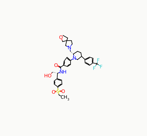 CCS(=O)(=O)c1ccc([C@H](CO)NC(=O)c2ccc(N3CC(c4ccc(C(F)(F)F)cc4)CC[C@H]3CN3CCC4(CCOC4)C3)cc2)cc1